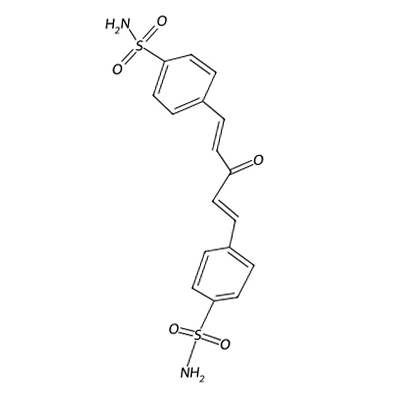 NS(=O)(=O)c1ccc(/C=C/C(=O)/C=C/c2ccc(S(N)(=O)=O)cc2)cc1